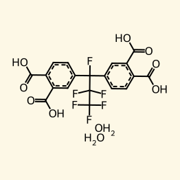 O.O.O=C(O)c1ccc(C(F)(c2ccc(C(=O)O)c(C(=O)O)c2)C(F)(F)C(F)(F)F)cc1C(=O)O